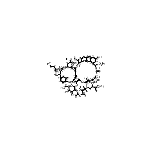 CCOC(CNC(C)(C)C(O)C(C)OC(C)OC1C(Oc2c3cc4cc2Oc2ccc(cc2Cl)[C@@H](O)CC(=O)NC(C(=O)O)c2cc(O)cc(O)c2-c2cc(ccc2O)[C@H](C(N)=O)NC(=O)C4NC(=O)C(CC(N)=O)NC(=O)[C@@H](NC(=O)CCC(C)C)C(O)c2ccc(c(Cl)c2)O3)OC(CO)C(O)C1O)C(=O)OC